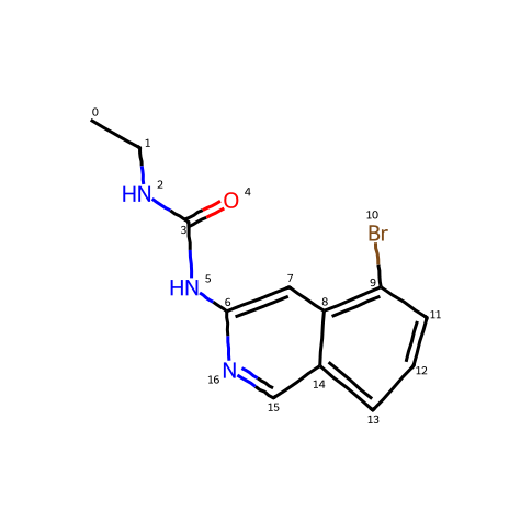 CCNC(=O)Nc1cc2c(Br)cccc2cn1